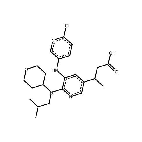 CC(C)CN(c1ncc(C(C)CC(=O)O)cc1Nc1ccc(Cl)nc1)C1CCOCC1